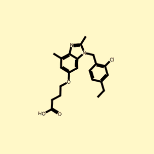 CCc1ccc(Cn2c(C)nc3c(C)cc(OCCCC(=O)O)cc32)c(Cl)c1